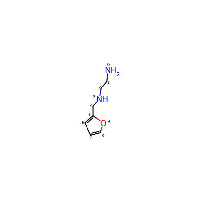 NCCNCc1ccco1